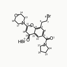 Br.O=C(c1cc(CCBr)c2oc(N3CCOCC3)cc(=O)c2c1)N1CCCC1